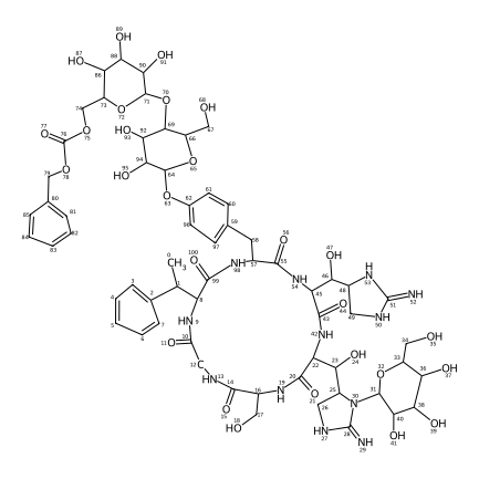 CC(c1ccccc1)C1NC(=O)CNC(=O)C(CO)NC(=O)C(C(O)C2CNC(=N)N2C2OC(CO)C(O)C(O)C2O)NC(=O)C(C(O)C2CNC(=N)N2)NC(=O)C(Cc2ccc(OC3OC(CO)C(OC4OC(COC(=O)OCc5ccccc5)C(O)C(O)C4O)C(O)C3O)cc2)NC1=O